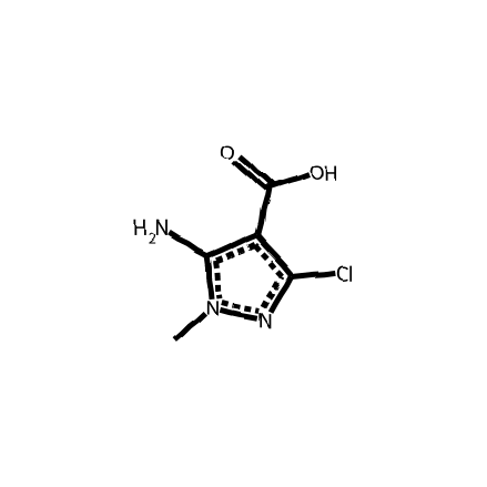 Cn1nc(Cl)c(C(=O)O)c1N